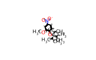 COc1cc([N+](=O)[O-])ccc1O[Si](C(C)C)(C(C)C)C(C)C